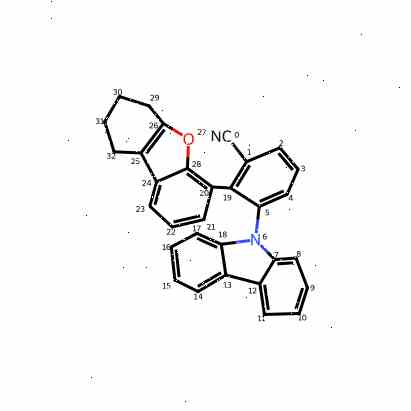 N#Cc1cccc(-n2c3ccccc3c3ccccc32)c1-c1cccc2c3c(oc12)CCCC3